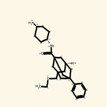 CCOCC12C[C@H]3CC(C(=O)N[C@H]4CC[C@H](N)CC4)(C1)CC(c1ccccc1)(C3)C2